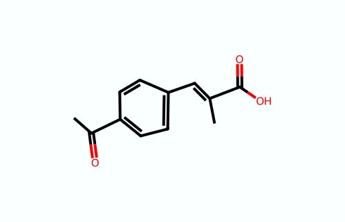 CC(=O)c1ccc(/C=C(\C)C(=O)O)cc1